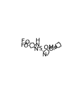 COc1c(OCc2ccccc2)ccnc1CSc1nc2cc3c(cc2[nH]1)OC(F)(F)O3